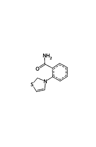 NC(=O)c1ccccc1N1C=CSC1